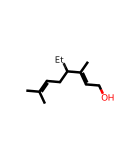 CCC(CC=C(C)C)/C(C)=C/CO